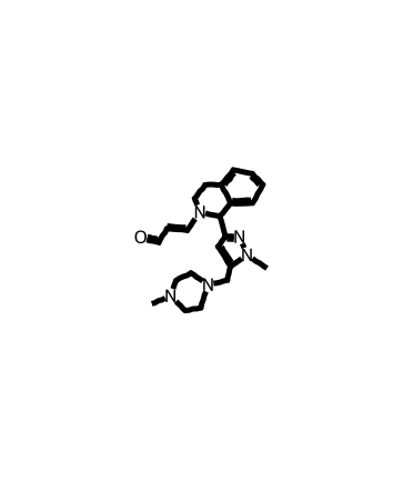 CN1CCN(Cc2cc(C3c4ccccc4CCN3C=CC=O)nn2C)CC1